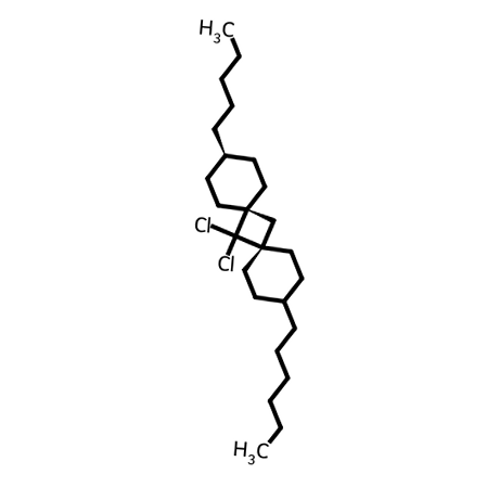 CCCCCCC1CC[C@]2(CC1)C[C@@]1(CC[C@H](CCCCC)CC1)C2(Cl)Cl